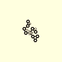 c1ccc2c(c1)oc1ccc(-c3cccc4c3oc3c(-c5nc(-c6ccc7c8ccccc8c8ccccc8c7c6)nc(-c6cccc7oc8ccccc8c67)n5)cccc34)cc12